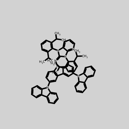 CC(C)c1cccc(C(C)C)c1-n1c(=Nn2c3ccc(-n4c5ccccc5c5ccccc54)cc3c3cc(-n4c5ccccc5c5ccccc54)ccc32)n(-c2c(C(C)C)cccc2C(C)C)c2ncccc21